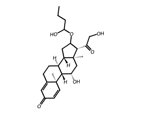 CCCC(O)OC1C[C@H]2[C@@H]3CCC4=CC(=O)C=C[C@]4(C)[C@H]3[C@@H](O)C[C@]2(C)[C@H]1C(=O)CO